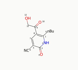 CCCCc1[nH]c(=O)c(C#N)cc1C(=O)CO